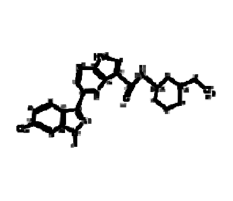 Cn1nc(-c2cnc3[nH]cc(C(=O)N[C@@H]4CCCN(CC(F)(F)F)C4)c3n2)c2ccc(Cl)cc21